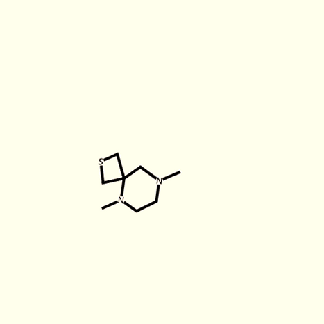 CN1CCN(C)C2(CSC2)C1